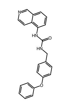 O=C(NCc1ccc(Oc2ccccc2)cc1)Nc1cccc2cnccc12